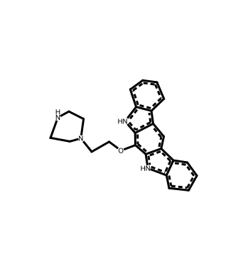 c1ccc2c(c1)[nH]c1c(OCCN3CCNCC3)c3[nH]c4ccccc4c3cc12